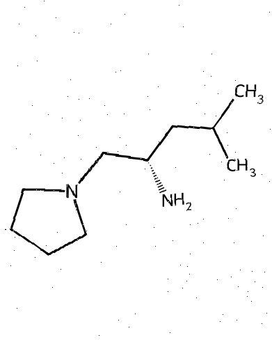 CC(C)C[C@H](N)CN1C[CH]CC1